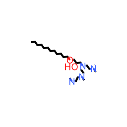 CCCCCCCCCCCCOCC(O)CN(CCN(C)C)CCN(C)CCN(C)C